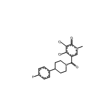 Cn1cc(C(=O)N2CCC(c3ccc(F)cc3)CC2)c(Cl)c(Cl)c1=O